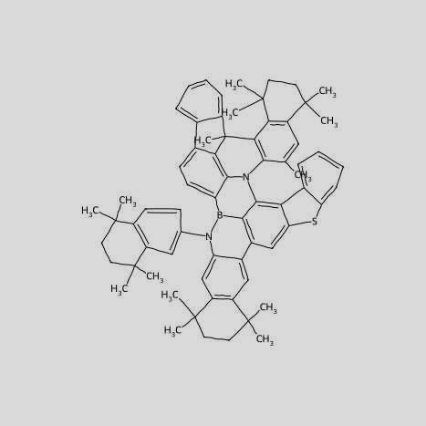 Cc1cc2c(c3c1N1c4c(ccc5c4C3(C)c3ccccc3-5)B3c4c(cc5sc6ccccc6c5c41)-c1cc4c(cc1N3c1ccc3c(c1)C(C)(C)CCC3(C)C)C(C)(C)CCC4(C)C)C(C)(C)CCC2(C)C